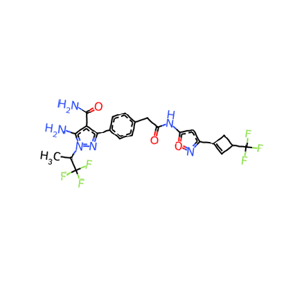 CC(n1nc(-c2ccc(CC(=O)Nc3cc(C4=CC(C(F)(F)F)C4)no3)cc2)c(C(N)=O)c1N)C(F)(F)F